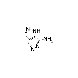 Nc1nncc2cn[nH]c12